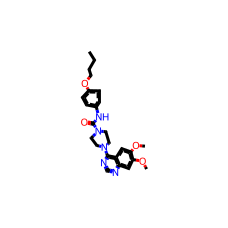 CCCCOc1ccc(NC(=O)N2CCN(c3ncnc4cc(OC)c(OC)cc34)CC2)cc1